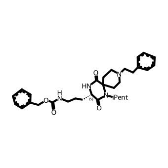 CCCC(C)N1C(=O)[C@H](CCCNC(=O)OCc2ccccc2)NC(=O)C12CCN(CCc1ccccc1)CC2